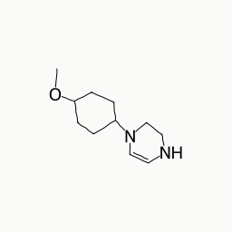 COC1CCC(N2C=CNCC2)CC1